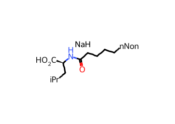 CCCCCCCCCCCCCC(=O)N[C@@H](CC(C)C)C(=O)O.[NaH]